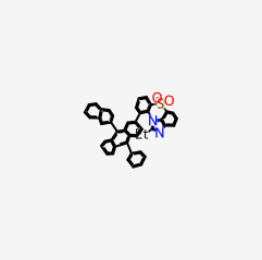 CCc1nc2cccc3c2n1-c1c(-c2ccc4c(-c5ccccc5)c5ccccc5c(-c5ccc6ccccc6c5)c4c2)cccc1S3(=O)=O